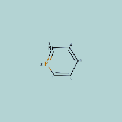 C1=C[P]=[Bi][CH]=C1